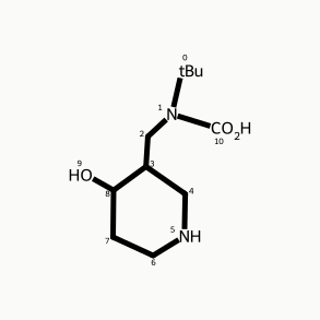 CC(C)(C)N(CC1CNCCC1O)C(=O)O